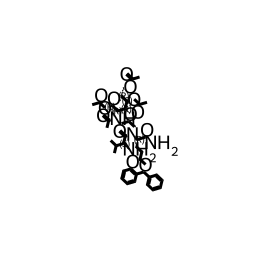 CC(=O)N[C@H]1[C@@H](OC(C)=O)O[C@H](COC(C)=O)[C@@H](OC(C)=O)[C@@H]1OC(C)CN(C(=O)[C@@H](N)C(C)C)[C@H](CCC(=O)OC(c1ccccc1)c1ccccc1)C(N)=O